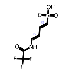 O=C(N/C=C/C=C/S(=O)(=O)O)C(F)(F)F